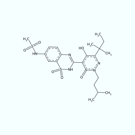 CCC(C)(C)c1nn(CCC(C)C)c(=O)c(C2=Nc3ccc(NS(C)(=O)=O)cc3S(=O)(=O)N2)c1O